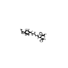 CCC(=O)C(CCCCCCc1ccc(OC)cc1)C(C)=O